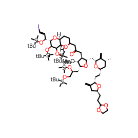 C=C1C[C@H](CCC2OCCO2)O[C@H]1CC[C@H]1C[C@@H](C)C(=C)[C@@H](C[C@@H]2O[C@H](C[C@@H](CO[Si](C)(C)C(C)(C)C)O[Si](C)(C)C(C)(C)C)[C@H](OC)[C@H]2CC(=O)CC2CC[C@@H]3O[C@@H](C(/C=C/I)O[Si](C)(C)C(C)(C)C)C(O[Si](C)(C)C(C)(C)C)C(O[Si](C)(C)C(C)(C)C)[C@H]3O2)O1